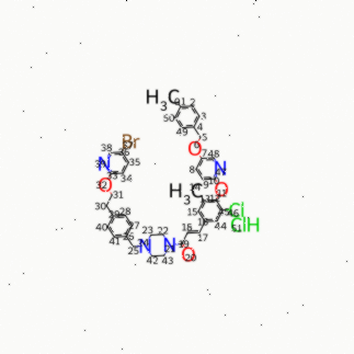 Cc1ccc(COc2ccc(Oc3c(C)cc(C=CC(=O)N4CCN(Cc5ccc(CCOc6ccc(Br)cn6)cc5)CC4)cc3Cl)nc2)cc1.Cl